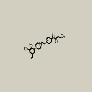 CCc1cc(Cl)c(OC)c(N2CCN(CC[C@H]3CC[C@H](NC(=O)CCOC)CC3)CC2)c1